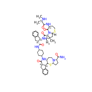 CN[C@@H](C)C(=O)N[C@H]1CCS[C@H]2CC(C)(C)[C@@H](C(=O)N[C@H]3c4ccccc4C[C@H]3C(=O)NC3CCC(NC(=O)[C@@H]4Cc5ccccc5[C@@H]4C4CCCN5C(CCC5C(N)=O)S4)CC3)N2C1=O